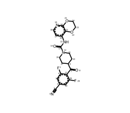 N#Cc1cc(F)c(C(=O)C2CCN(C(=O)Nc3ccnc4c3OCCO4)CC2)c(F)c1